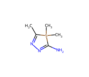 CC1=NN=C(N)S1(C)C